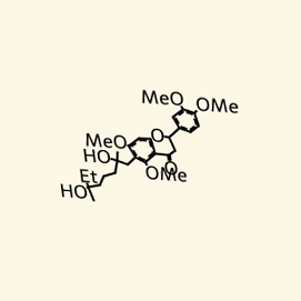 CCC(C)(O)CCCC(C)(O)Cc1c(OC)cc2c(c1OC)C(=O)CC(c1ccc(OC)c(OC)c1)O2